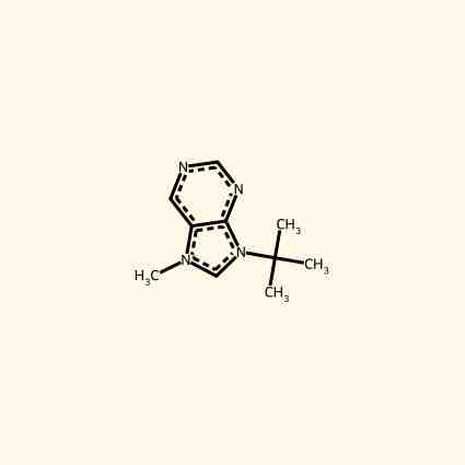 C[n+]1cn(C(C)(C)C)c2ncncc21